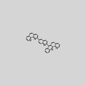 c1cnc2c(c1)ccc1ccc(-c3ccc4nc(-c5c6ccccc6nc6c5ccc5cccnc56)ccc4c3)nc12